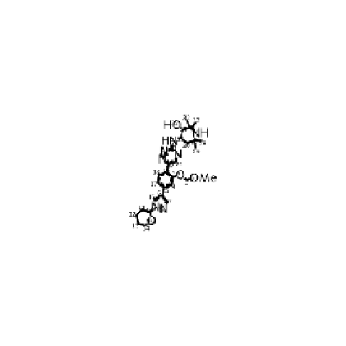 COCOc1cc(-c2cnn(C3CCCCO3)c2)ccc1-c1cnc(N[C@H]2CC(C)(C)NC(C)(C)[C@H]2O)nn1